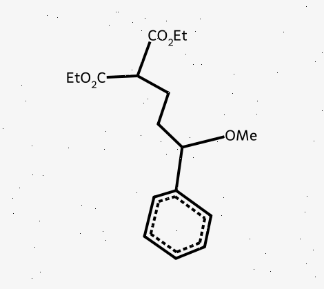 CCOC(=O)C(CCC(OC)c1ccccc1)C(=O)OCC